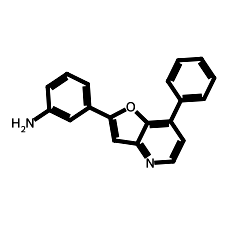 Nc1cccc(-c2cc3nccc(-c4ccccc4)c3o2)c1